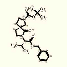 CC(C)[C@@H](C(=O)OCc1ccccc1)N1CC[C@]2(CCN(C(=O)OC(C)(C)C)C2)C1=O